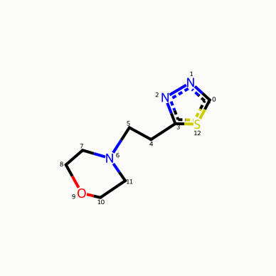 [c]1nnc(CCN2CCOCC2)s1